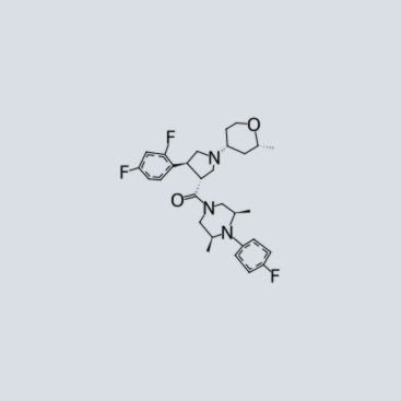 C[C@@H]1C[C@H](N2C[C@H](C(=O)N3C[C@@H](C)N(c4ccc(F)cc4)[C@@H](C)C3)[C@@H](c3ccc(F)cc3F)C2)CCO1